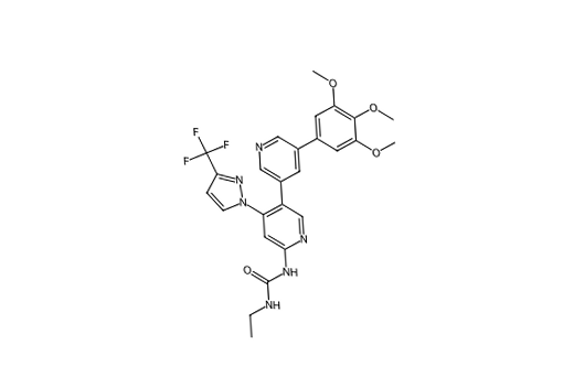 CCNC(=O)Nc1cc(-n2ccc(C(F)(F)F)n2)c(-c2cncc(-c3cc(OC)c(OC)c(OC)c3)c2)cn1